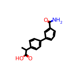 CC(C(=O)O)c1ccc(-c2cccc(C(N)=O)c2)cc1